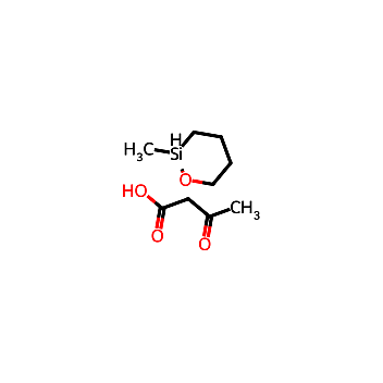 CC(=O)CC(=O)O.C[SiH]1CCCCO1